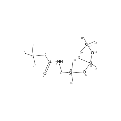 CC(C)(C)CC(=O)NC[Si](C)(C)O[Si](C)(C)O[Si](C)(C)C